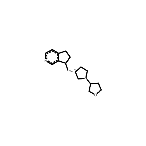 c1cc2c(cn1)C(C[C@@H]1CCN(C3CCOC3)C1)CC2